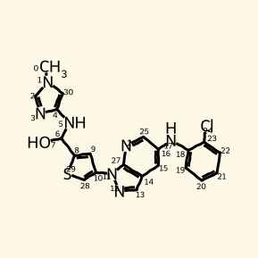 Cn1cnc(NC(O)c2cc(-n3ncc4cc(Nc5ccccc5Cl)cnc43)cs2)c1